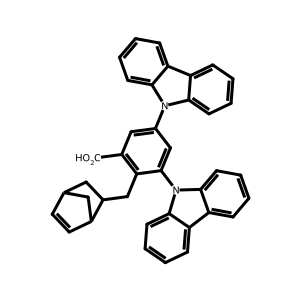 O=C(O)c1cc(-n2c3ccccc3c3ccccc32)cc(-n2c3ccccc3c3ccccc32)c1CC1CC2C=CC1C2